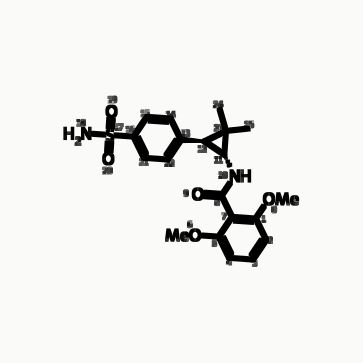 COc1cccc(OC)c1C(=O)N[C@@H]1[C@@H](c2ccc(S(N)(=O)=O)cc2)C1(C)C